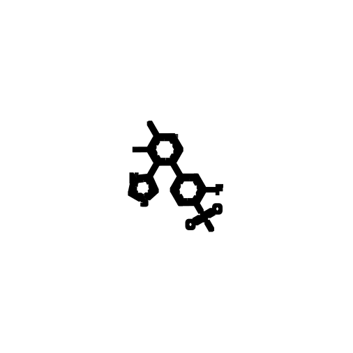 Cc1[c]cc(-c2ccc(S(C)(=O)=O)c(F)c2)c(-c2cscn2)c1C